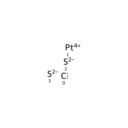 [C].[Pt+4].[S-2].[S-2]